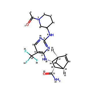 CC(=O)N1CCCC(Nc2ncc(C(F)(F)F)c(N[C@H]3[C@@H](C(N)=O)[C@@H]4C=C[C@H]3C4)n2)C1